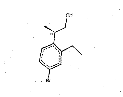 CCc1cc(Br)ccc1[C@@H](C)CO